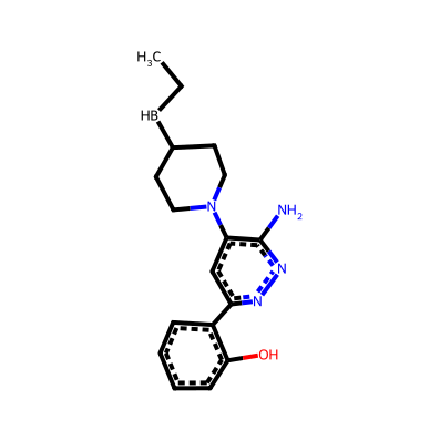 CCBC1CCN(c2cc(-c3ccccc3O)nnc2N)CC1